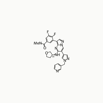 CNC(=O)c1cc(F)c(F)c(-c2cnn3cc(-c4cnn(Cc5cccnc5)c4)c(N[C@H]4CCOC4)nc23)c1